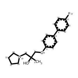 CC(O)(COc1ccc(-c2ccc(F)cc2)cc1)CN1CCCC1